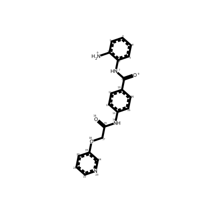 Nc1ccccc1NC(=O)c1ccc(NC(=O)COc2cccnc2)cc1